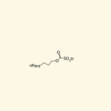 CCCCCCCCOC(=O)S(=O)(=O)O